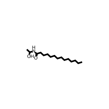 CCCCCCCCCCCCCC(=O)NC(C)O